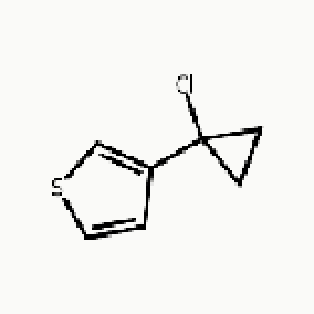 ClC1(c2ccsc2)CC1